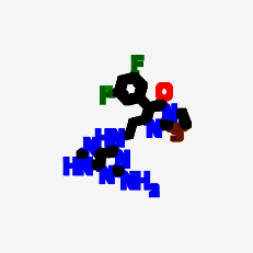 Nc1nc(NCCc2nc3sccn3c(=O)c2-c2cc(F)cc(F)c2)c2nc[nH]c2n1